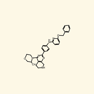 CC1COCCN1c1nc(-c2ccc(Nc3cccc(OCc4ccccc4)n3)cc2)nc2c1CCNC2